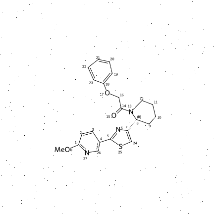 COc1ccc(-c2nc([C@H]3CCCCN3C(=O)COc3ccccc3)cs2)cn1